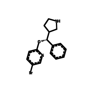 Brc1ccc(O[C@@H](c2ccccc2)C2CCNC2)nc1